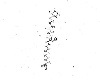 Cc1ccccc1CCCCCCCCCCCCCCCCCCCCN(C)C.O